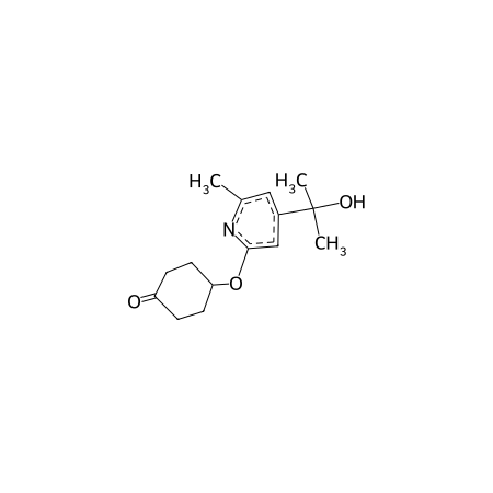 Cc1cc(C(C)(C)O)cc(OC2CCC(=O)CC2)n1